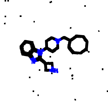 c1ccc2c(c1)nc(C1CNC1)n2C1CCN(CC2CCCCCCC2)CC1